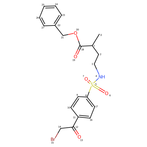 CC(CCNS(=O)(=O)c1ccc(C(=O)CBr)cc1)C(=O)OCc1ccccc1